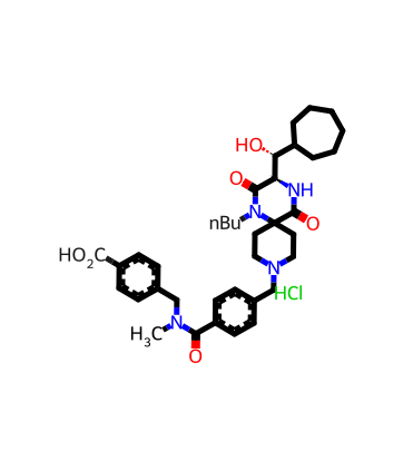 CCCCN1C(=O)[C@@H]([C@H](O)C2CCCCCC2)NC(=O)C12CCN(Cc1ccc(C(=O)N(C)Cc3ccc(C(=O)O)cc3)cc1)CC2.Cl